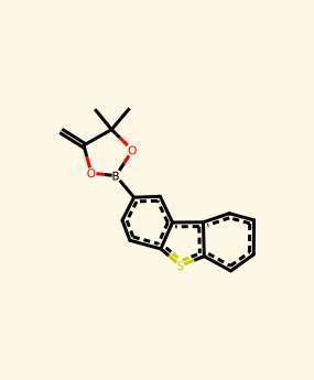 C=C1OB(c2ccc3sc4ccccc4c3c2)OC1(C)C